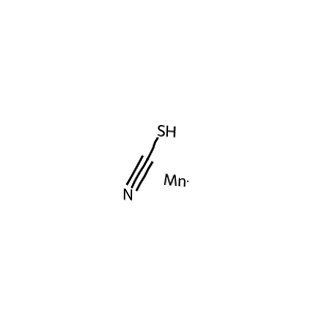 N#CS.[Mn]